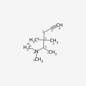 C#CCC(C)(C)C(C)N(C)C